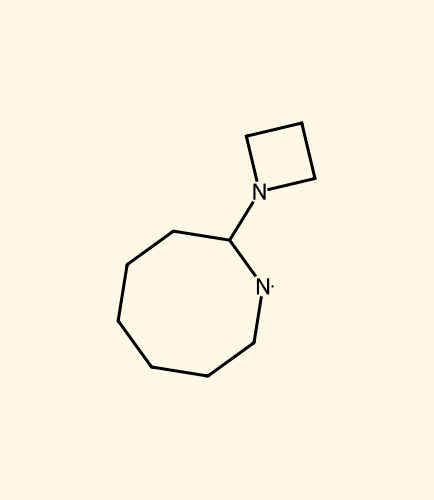 C1CCCC(N2CCC2)[N]CC1